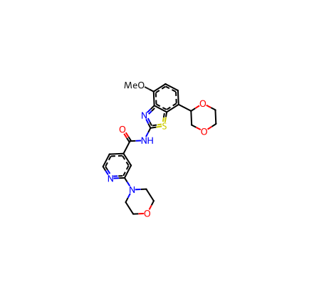 COc1ccc(C2COCCO2)c2sc(NC(=O)c3ccnc(N4CCOCC4)c3)nc12